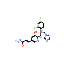 C[C@H](c1ccc(/C=C/C(N)=O)cn1)[C@@](O)(Cn1cncn1)c1ccc(F)cc1F